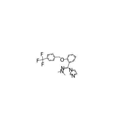 CN(C)/N=C(/c1ccccc1OCc1ccc(C(F)(F)F)cc1)n1ccnc1